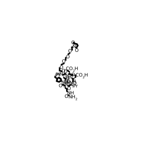 CC(C)Cc1ccc(NC(=O)[C@H](CCCNC(N)=O)NC(=O)[C@@H](NC(=O)[C@H](CCC(=O)O)NC(=O)[C@H](CCC(=O)O)NC(=O)[C@H](CCC(=O)O)NC(=O)CCOCCOCCOCCOCCN2C(=O)C=CC2=O)C(C)C)cc1